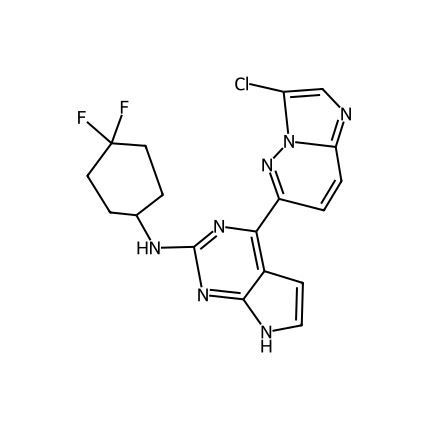 FC1(F)CCC(Nc2nc(-c3ccc4ncc(Cl)n4n3)c3cc[nH]c3n2)CC1